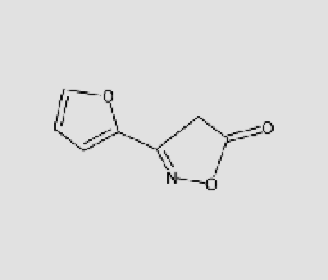 O=C1CC(c2ccco2)=NO1